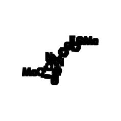 CC#CC(=O)N1CC[C@@H](c2nc(-c3ccc(Oc4cccc(OC)c4F)cc3)c3cncc(OCCOC)n23)C1